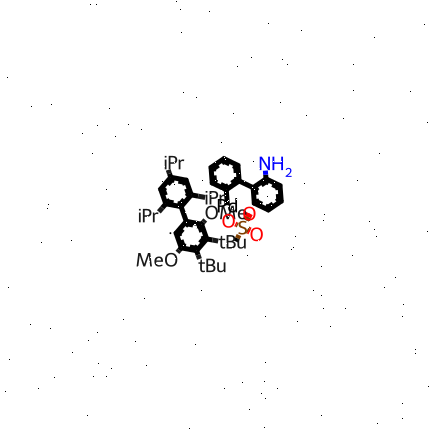 COc1[c]c(-c2c(C(C)C)cc(C(C)C)cc2C(C)C)c(OC)c(C(C)(C)C)c1C(C)(C)C.CS(=O)(=O)[O][Pd][c]1ccccc1-c1ccccc1N